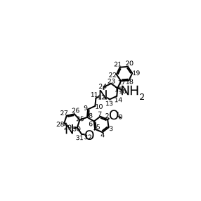 COc1ccc2c(c1)C(=CCCN1CCC(N)(c3ccccc3)CC1)C1C=CC=NC1CO2